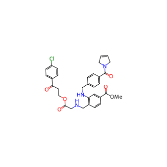 COC(=O)c1ccc(CNCC(=O)OCCC(=O)c2ccc(Cl)cc2)c(NCc2ccc(C(=O)N3CC=CC3)cc2)c1